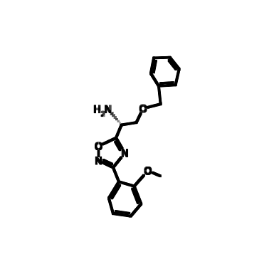 COc1ccccc1-c1noc([C@H](N)COCc2ccccc2)n1